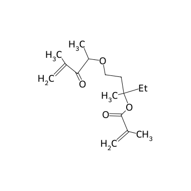 C=C(C)C(=O)OC(C)(CC)CCOC(C)C(=O)C(=C)C